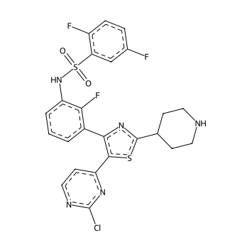 O=S(=O)(Nc1cccc(-c2nc(C3CCNCC3)sc2-c2ccnc(Cl)n2)c1F)c1cc(F)ccc1F